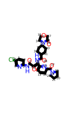 O=C(Nc1ccc(Cl)cn1)c1oc2ccc(C(=O)N3CCCC3)nc2c1NC(=O)C1CCC(N2CCOCC2=O)CC1